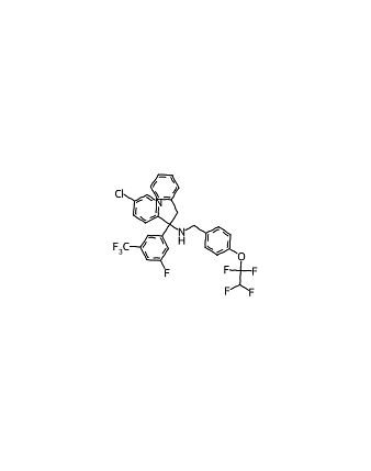 Fc1cc(C(F)(F)F)cc(C(Cc2ccccc2)(NCc2ccc(OC(F)(F)C(F)F)cc2)c2ccc(Cl)cn2)c1